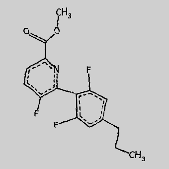 CCCc1cc(F)c(-c2nc(C(=O)OC)ccc2F)c(F)c1